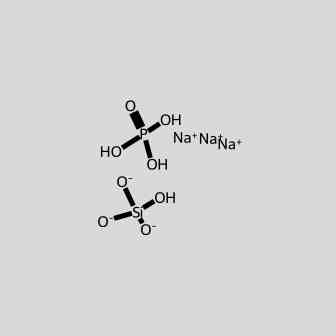 O=P(O)(O)O.[Na+].[Na+].[Na+].[O-][Si]([O-])([O-])O